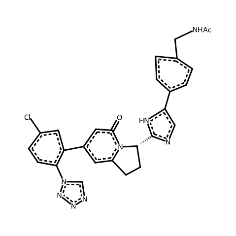 CC(=O)NCc1ccc(-c2cnc([C@@H]3CCc4cc(-c5cc(Cl)ccc5-n5cnnn5)cc(=O)n43)[nH]2)cc1